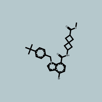 COC(=O)C1CC2(CC(NC(=O)c3ccc(Br)c4ccn(Cc5ccc(C(C)(C)C)cc5)c34)C2)C1